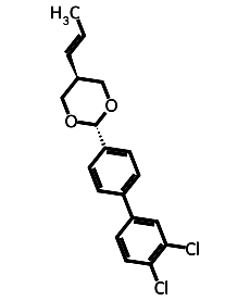 CC=C[C@H]1CO[C@H](c2ccc(-c3ccc(Cl)c(Cl)c3)cc2)OC1